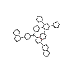 c1ccc(-c2cc(-c3ccccc3)c(-c3cccc(N(c4ccc(-c5ccc6ccccc6c5)cc4)c4ccc(-c5cccc6ccccc56)cc4)c3)c(-c3ccccc3)c2)cc1